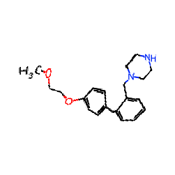 COCCOc1ccc(-c2ccccc2CN2CCNCC2)cc1